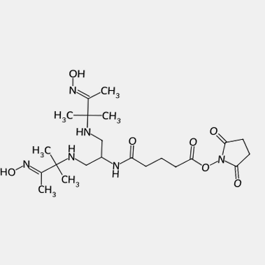 CC(=NO)C(C)(C)NCC(CNC(C)(C)C(C)=NO)NC(=O)CCCC(=O)ON1C(=O)CCC1=O